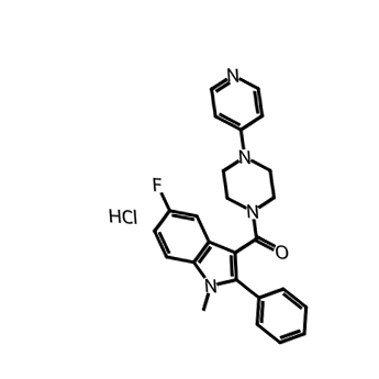 Cl.Cn1c(-c2ccccc2)c(C(=O)N2CCN(c3ccncc3)CC2)c2cc(F)ccc21